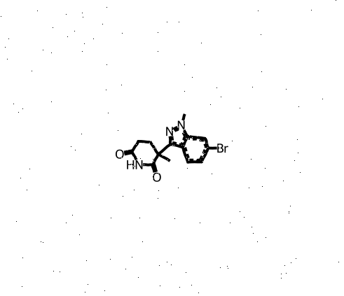 Cn1nc(C2(C)CCC(=O)NC2=O)c2ccc(Br)cc21